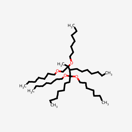 CCCCCCCOCC(C)(OCCCCCCC)C(CCCCCCC)C(CCCCCCC)(OCCCCCCC)OCCCCCCC